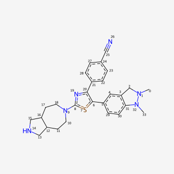 CN1Cc2cc(-c3sc(N4CCC5CNCC5CC4)nc3-c3ccc(C#N)cc3)ccc2N1C